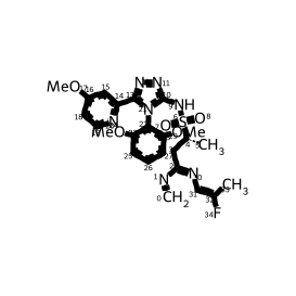 C=N/C(C[C@@H](C)S(=O)(=O)Nc1nnc(-c2cc(OC)ccn2)n1-c1c(OC)cccc1OC)=N\C=C(/C)F